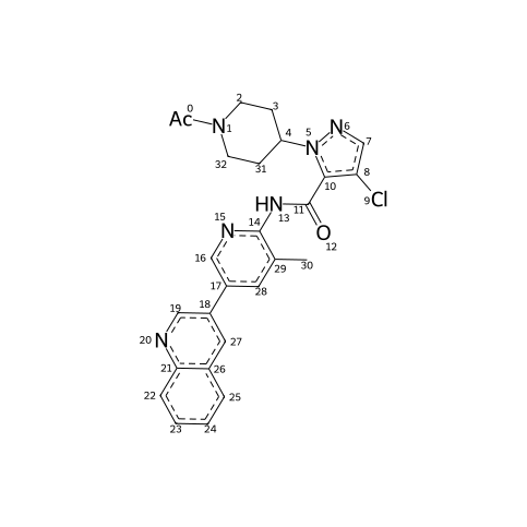 CC(=O)N1CCC(n2ncc(Cl)c2C(=O)Nc2ncc(-c3cnc4ccccc4c3)cc2C)CC1